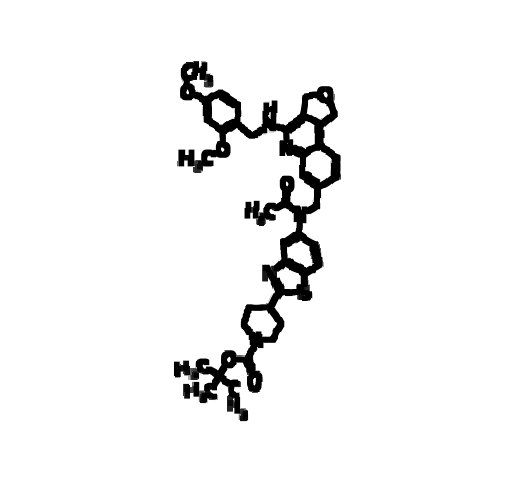 COc1ccc(CNc2nc3cc(CN(C(C)=O)c4ccc5sc(C6CCN(C(=O)OC(C)(C)C)CC6)nc5c4)ccc3c3c2COC3)c(OC)c1